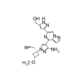 CO[C@H]1C[C@](CC#N)(n2cc(-c3nc(-c4cc(CO)[nH]n4)cn4nccc34)c(N)n2)C1